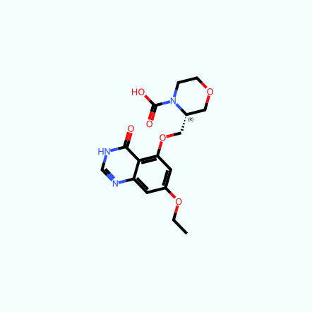 CCOc1cc(OC[C@H]2COCCN2C(=O)O)c2c(=O)[nH]cnc2c1